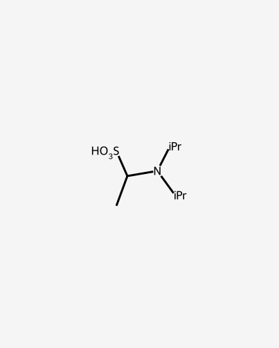 CC(C)N(C(C)C)C(C)S(=O)(=O)O